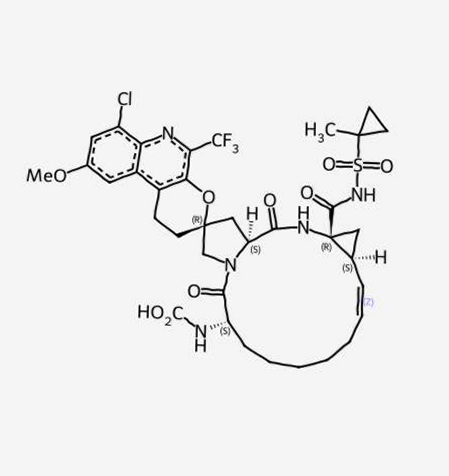 COc1cc(Cl)c2nc(C(F)(F)F)c3c(c2c1)CC[C@]1(C[C@H]2C(=O)N[C@]4(C(=O)NS(=O)(=O)C5(C)CC5)C[C@H]4/C=C\CCCCC[C@H](NC(=O)O)C(=O)N2C1)O3